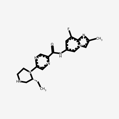 CC[C@@H]1CNCCN1c1cnc(C(=O)Nc2cc(F)c3nc(C)cn3c2)cn1